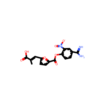 C/C(=C\c1ccc(C(=O)Oc2ccc(C(=N)N)cc2[N+](=O)[O-])o1)C(=O)O